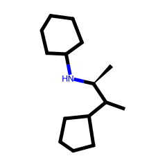 CC(C1CCCC1)[C@H](C)NC1CCCCC1